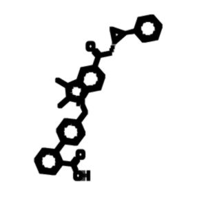 Cc1c(C)n(Cc2ccc(-c3ccccc3C(=O)O)cc2)c2ccc(C(=O)C[C@@H]3C[C@H]3c3ccccc3)cc12